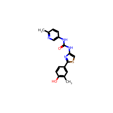 Cc1ccc(NC(=O)Nc2csc(-c3ccc(O)c(C)c3)n2)cn1